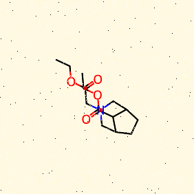 CCOC(=O)CN1CC2CCC(C1)C2C(=O)OCC